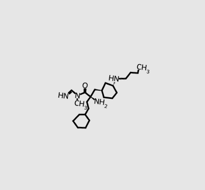 CCCCN[C@@H]1CCC[C@@H](C[C@](N)(CCC2CCCCC2)C(=O)N(C)C=N)C1